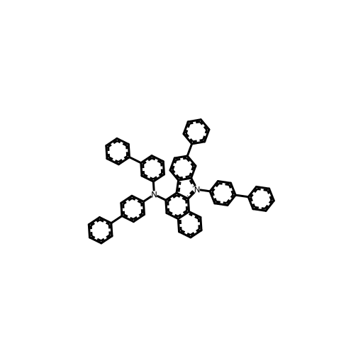 c1ccc(-c2ccc(N(c3cccc(-c4ccccc4)c3)c3cc4ccccc4c4c3c3ccc(-c5ccccc5)cc3n4-c3ccc(-c4ccccc4)cc3)cc2)cc1